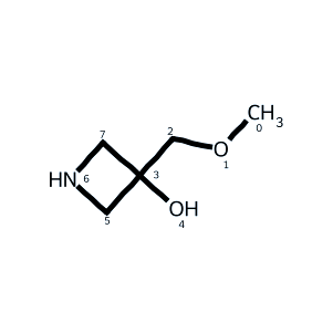 COCC1(O)CNC1